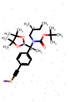 CC[C@H](C)CN(C(=O)OC(C)(C)C)[C@@](C)(B1OC(C)(C)C(C)(C)O1)c1ccc(C#CSI)cc1